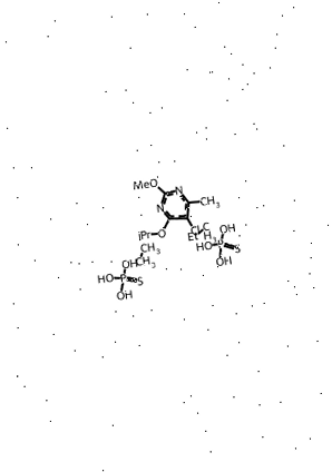 CC.CCC.COc1nc(C)c(Cl)c(OC(C)C)n1.OP(O)(O)=S.OP(O)(O)=S